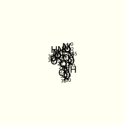 Cc1cc(N(C)C(=O)OC(C)(C)C)cc(Nc2nc3c(c(C4=CC[C@H](NC(=O)OC(C)(C)C)CC4)c2F)OCC3)n1